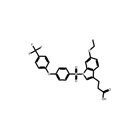 CCOc1ccc2c(CCC(=O)O)cn(S(=O)(=O)c3ccc(Oc4ccc(C(F)(F)F)cc4)cc3)c2c1